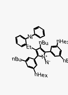 CCCCCCc1cc(CCCC)cc(C2=C(CC)C(CCCC)=C(c3cc(CCCC)cc(CCCCCC)c3)[N+]2=[N-])c1.c1cc[c]([Ni][c]2ccccc2)cc1